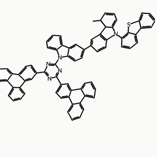 CC1C=CC=C2C1c1cc(-c3ccc4c(c3)c3ccccc3n4-c3nc(-c4ccc5c6ccccc6c6ccccc6c5c4)nc(-c4ccc5c6ccccc6c6ccccc6c5c4)n3)ccc1N2c1cccc2c1sc1ccccc12